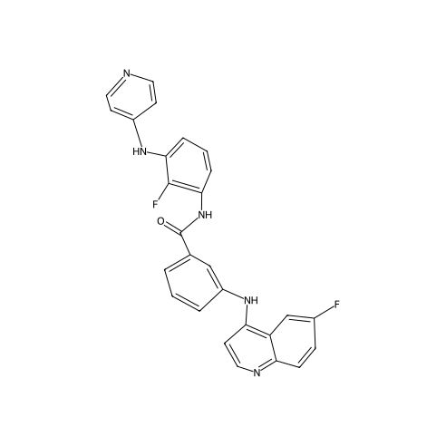 O=C(Nc1cccc(Nc2ccncc2)c1F)c1cccc(Nc2ccnc3ccc(F)cc23)c1